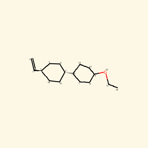 C=C[C@H]1CC[C@H](C2CCC(OCC)CC2)CC1